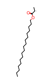 C[CH]C(=O)OCCCCCCCCCCCCCCCCCC